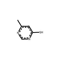 Cc1cc(S)ncn1